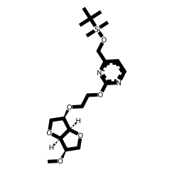 CO[C@@H]1CO[C@H]2[C@@H]1OC[C@H]2OCCOc1nccc(CO[Si](C)(C)C(C)(C)C)n1